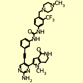 CN1CCN(Cc2ccc(NC(=O)Nc3cccc(C#Cc4cnc(N)nc4-c4cc5c(n4C)CCNC5=O)c3)cc2C(F)(F)F)CC1